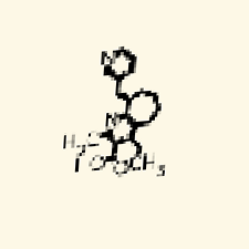 CCc1c2c(nc(C)c1C(=O)O)C(=Cc1cccnc1)CCCC2